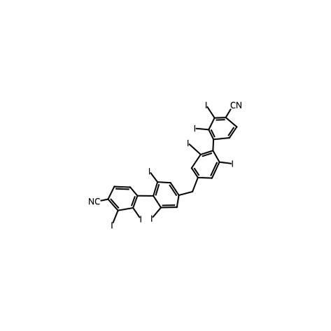 N#Cc1ccc(-c2c(I)cc(Cc3cc(I)c(-c4ccc(C#N)c(I)c4I)c(I)c3)cc2I)c(I)c1I